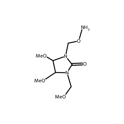 COCN1C(=O)N(CON)C(OC)C1OC